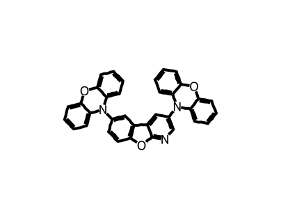 c1ccc2c(c1)Oc1ccccc1N2c1ccc2oc3ncc(N4c5ccccc5Oc5ccccc54)cc3c2c1